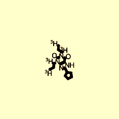 [3H]CCC([3H])n1c(=O)c2[nH]c(C3CCCC3)nc2n(C([3H])CC[3H])c1=O